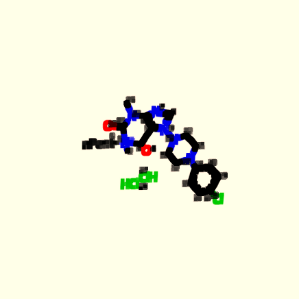 CCCCC[N@@+]1(C)C(=O)c2c(ncn2N2CCN(c3ccc(Cl)cc3)CC2)N(C)C1=O.Cl.Cl